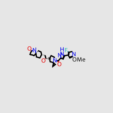 COc1cc(-c2cc(C(=O)N3CC[C@@H](C(=O)C[C@H]4CC[C@@]5(CCC(=O)N5C)CC4)CC34CC4)n[nH]2)c(F)cn1